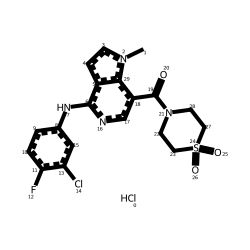 Cl.Cn1ccc2c(Nc3ccc(F)c(Cl)c3)ncc(C(=O)N3CCS(=O)(=O)CC3)c21